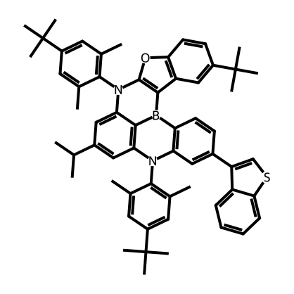 Cc1cc(C(C)(C)C)cc(C)c1N1c2cc(-c3csc4ccccc34)ccc2B2c3c1cc(C(C)C)cc3N(c1c(C)cc(C(C)(C)C)cc1C)c1oc3ccc(C(C)(C)C)cc3c12